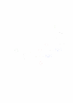 Cc1ccc(NC(=O)NS(=O)(=O)c2ccc(Cl)s2)cc1F